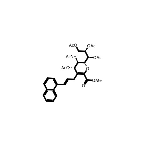 COC(=O)C1=C(C/C=C/c2cccc3ccccc23)[C@H](OC(C)=O)[C@@H](NC(C)=O)[C@H]([C@H](OC(C)=O)[C@@H](COC(C)=O)OC(C)=O)O1